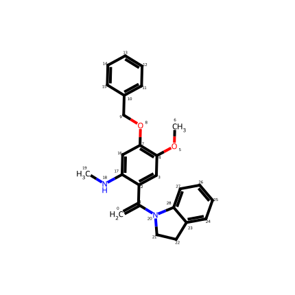 C=C(c1cc(OC)c(OCc2ccccc2)cc1NC)N1CCc2ccccc21